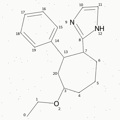 CCOC1CCCC(c2ncc[nH]2)C(c2ccccc2)C1